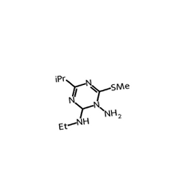 CCNC1N=C(C(C)C)N=C(SC)N1N